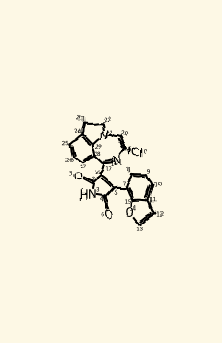 Cl.O=C1NC(=O)C(c2cccc3ccoc23)=C1C1=NC=CN2CCc3cccc1c32